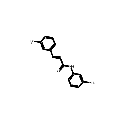 Cc1cccc(/C=C/C(=O)Nc2cccc(N)c2)c1